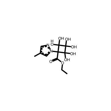 CCOC(=O)C1(n2cc(C)cn2)C(O)(O)C(O)(O)C1(O)O